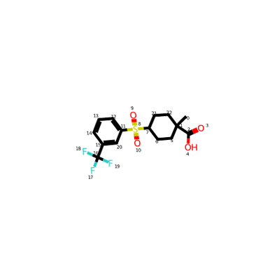 CC1(C(=O)O)CCC(S(=O)(=O)c2cccc(C(F)(F)F)c2)CC1